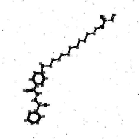 C=CC(=O)OCCCCCCCCCCCCOc1ccc(C(=O)OOC(=O)c2ccccc2)cc1